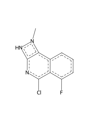 Cn1[nH]c2nc(Cl)c3c(F)cccc3c21